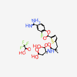 C[C@H](Cc1ccc(C(=O)Oc2ccc(C(=N)N)cc2F)s1)C(=O)N[C@@H](CC(=O)O)C(=O)O.O=C(O)C(F)(F)F